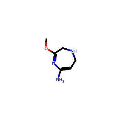 COC1=NC(N)=CCNC1